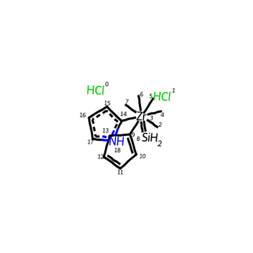 Cl.Cl.[CH3][Zr]([CH3])([CH3])([CH3])([CH3])(=[SiH2])([C]1=CC=CC1)[c]1ccc[nH]1